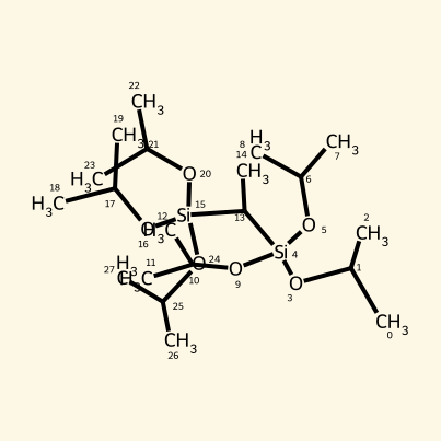 CC(C)O[Si](OC(C)C)(OC(C)C)C(C)[Si](OC(C)C)(OC(C)C)OC(C)C